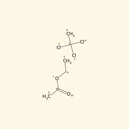 CC(Cl)(Cl)Cl.CCOC(C)=O